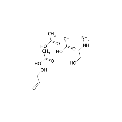 CC(=O)O.CC(=O)O.CC(=O)O.NNCCO.O=CCO